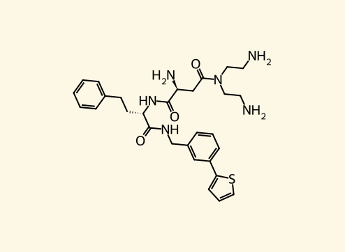 NCCN(CCN)C(=O)C[C@H](N)C(=O)N[C@@H](CCc1ccccc1)C(=O)NCc1cccc(-c2cccs2)c1